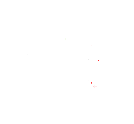 C=C(C)c1cc(F)c(CCN2C[C@H](O)[C@@H](O)[C@H](O)[C@H]2CO)c(F)c1